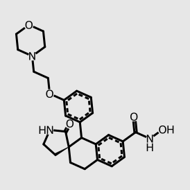 O=C(NO)c1ccc2c(c1)C(c1cccc(OCCN3CCOCC3)c1)[C@]1(CCNC1=O)CC2